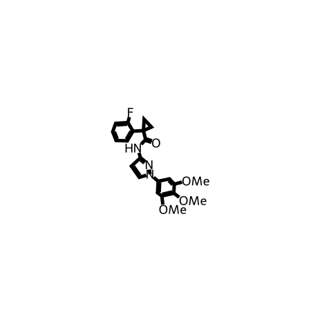 COc1cc(-n2ccc(NC(=O)C3(c4ccccc4F)CC3)n2)cc(OC)c1OC